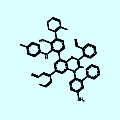 Bc1ccc(N2C(C)=C(c3ccccc3C=C)Sc3c(-c4ccc(C5=C(C)C=CCC5)c(CCC)c4Nc4ccc(C)cc4)cc(C(/C=C\C)=C/C=C)cc32)c(-c2ccccc2)c1